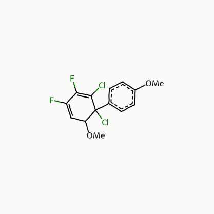 COc1ccc(C2(Cl)C(Cl)=C(F)C(F)=CC2OC)cc1